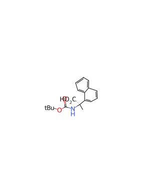 CC(C)(C)OC(=O)N[C@@](C)(C(=O)O)c1cccc2ccccc12